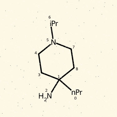 CCCC1(N)CCN(C(C)C)CC1